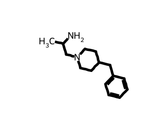 CC(N)CN1CCC(Cc2ccccc2)CC1